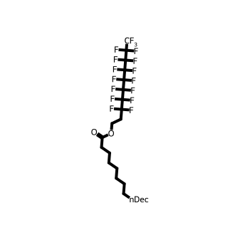 CCCCCCCCCCCCCCCCCC(=O)OCCC(F)(F)C(F)(F)C(F)(F)C(F)(F)C(F)(F)C(F)(F)C(F)(F)C(F)(F)F